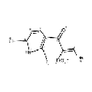 CCOC(=O)/C(=C\O)C(=O)C1=C(Cl)NC(Cl)C=C1